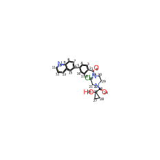 O=C(c1ccc(-c2ccc3ncccc3c2)cc1Cl)N1CCN(C(=O)C2(O)CC2)CC1